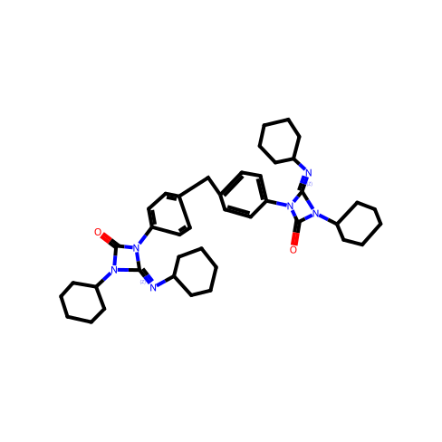 O=C1N(c2ccc(Cc3ccc(N4C(=O)N(C5CCCCC5)/C4=N/C4CCCCC4)cc3)cc2)/C(=N\C2CCCCC2)N1C1CCCCC1